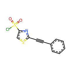 O=S(=O)(Cl)c1csc(C#Cc2ccccc2)n1